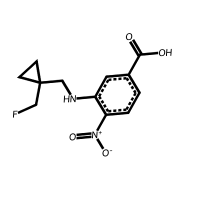 O=C(O)c1ccc([N+](=O)[O-])c(NCC2(CF)CC2)c1